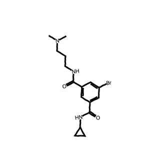 CN(C)CCCNC(=O)c1cc(Br)cc(C(=O)NC2CC2)c1